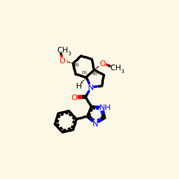 CO[C@@H]1CC[C@@]2(OC)CCN(C(=O)c3[nH]cnc3-c3ccccc3)[C@H]2C1